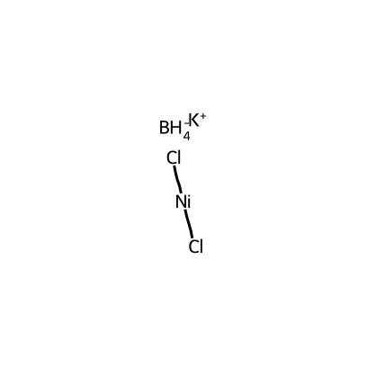 [BH4-].[Cl][Ni][Cl].[K+]